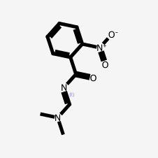 CN(C)/C=N/C(=O)c1ccccc1[N+](=O)[O-]